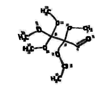 COOC([C]=O)(OC)C(OC)(OC)OC